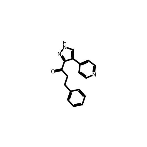 O=C(CCc1ccccc1)c1n[nH]cc1-c1ccncc1